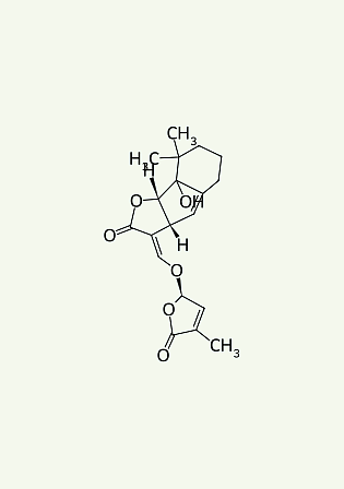 CC1=C[C@H](O/C=C2/C(=O)O[C@H]3[C@@H]2C=C2CCCC(C)(C)C23O)OC1=O